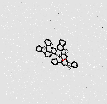 c1ccc(N(c2ccc(-c3ccccc3-n3c4ccccc4c4ccccc43)cc2)c2cccc3oc4c5ccccc5ccc4c23)c(-c2ccc3c(c2)sc2ccccc23)c1